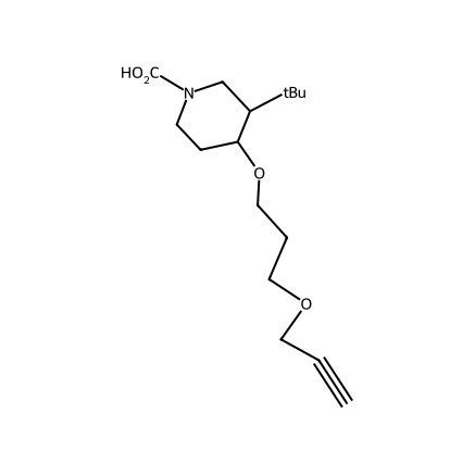 C#CCOCCCOC1CCN(C(=O)O)CC1C(C)(C)C